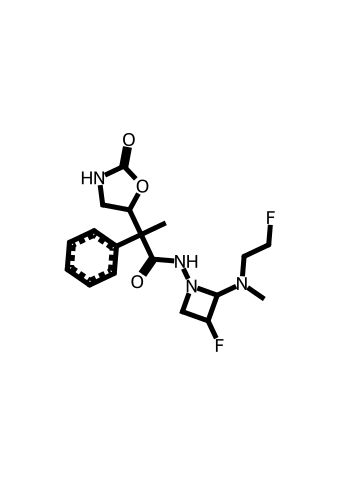 CN(CCF)C1C(F)CN1NC(=O)C(C)(c1ccccc1)C1CNC(=O)O1